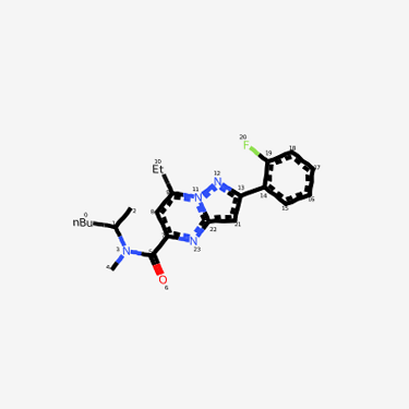 CCCCC(C)N(C)C(=O)c1cc(CC)n2nc(-c3ccccc3F)cc2n1